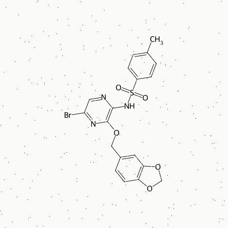 Cc1ccc(S(=O)(=O)Nc2ncc(Br)nc2OCc2ccc3c(c2)OCO3)cc1